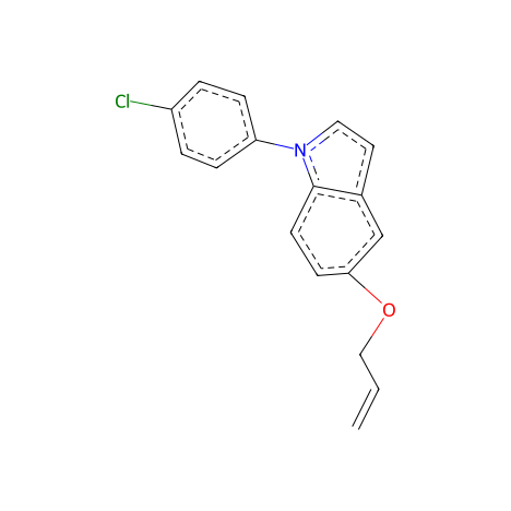 C=CCOc1ccc2c(ccn2-c2ccc(Cl)cc2)c1